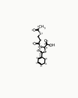 CC(=O)SCCC(=O)N1N=C(C2=CC=CCC2)SC1C(=O)O